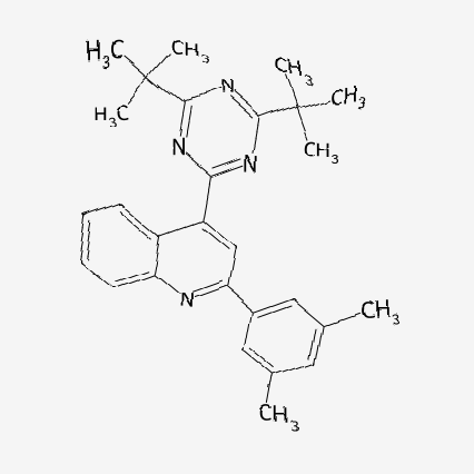 Cc1cc(C)cc(-c2cc(-c3nc(C(C)(C)C)nc(C(C)(C)C)n3)c3ccccc3n2)c1